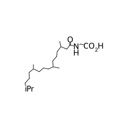 CC(C)CCCC(C)CCCC(C)CCCC(C)CC(=O)NCC(=O)O